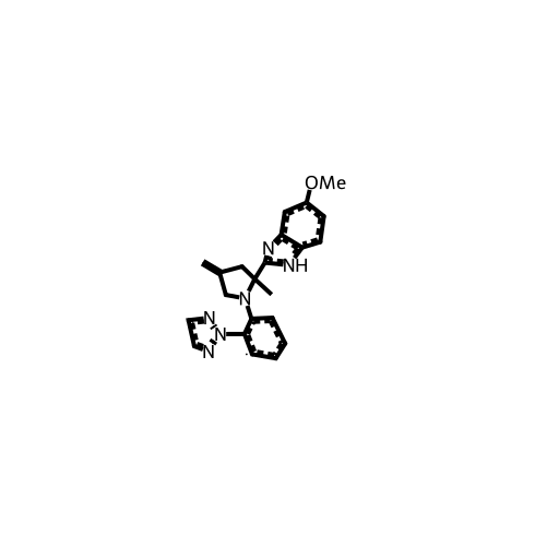 C=C1CN(c2ccc[c]c2-n2nccn2)C(C)(c2nc3cc(OC)ccc3[nH]2)C1